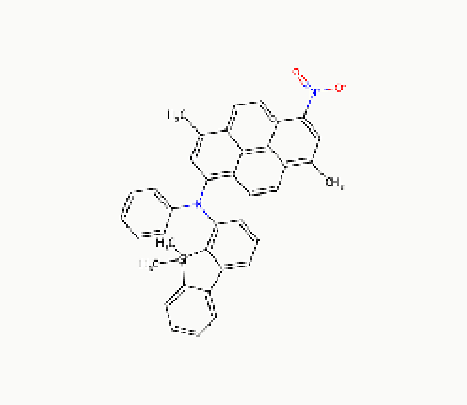 Cc1cc(N(c2ccccc2)c2cccc3c2[Si](C)(C)c2ccccc2-3)c2ccc3c(C)cc([N+](=O)[O-])c4ccc1c2c34